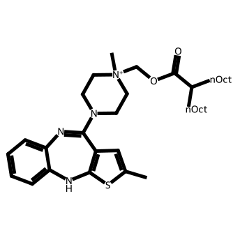 CCCCCCCCC(CCCCCCCC)C(=O)OC[N+]1(C)CCN(C2=Nc3ccccc3Nc3sc(C)cc32)CC1